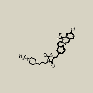 CN1CCN(CCCN2C(=O)SC(=Cc3ccc4c(ccn4Cc4ccc(Cl)cc4C(F)(F)F)c3)C2=O)CC1